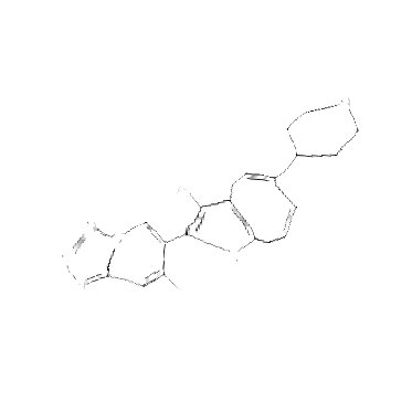 Cc1cc2nnnn2cc1-c1[nH]c2ccc(C3CCNCC3)cc2c1C(C)C